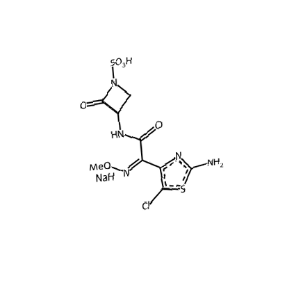 CON=C(C(=O)NC1CN(S(=O)(=O)O)C1=O)c1nc(N)sc1Cl.[NaH]